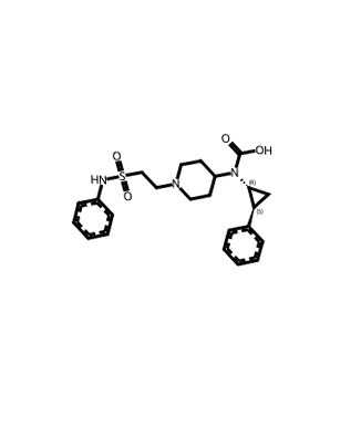 O=C(O)N(C1CCN(CCS(=O)(=O)Nc2ccccc2)CC1)[C@@H]1C[C@H]1c1ccccc1